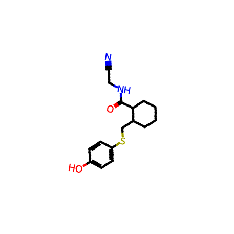 N#CCNC(=O)C1CCCCC1CSc1ccc(O)cc1